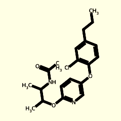 CCCc1ccc(Oc2ccc(OC(C)C(C)NC(C)=O)nc2)c(Cl)c1